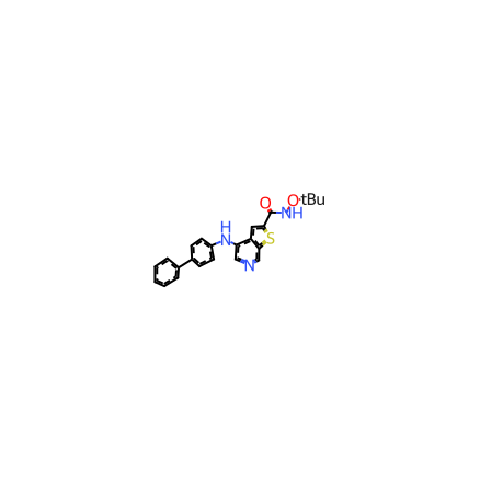 CC(C)(C)ONC(=O)c1cc2c(Nc3ccc(-c4ccccc4)cc3)cncc2s1